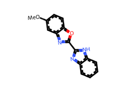 COc1ccc2oc(-c3nc4ccccc4[nH]3)nc2c1